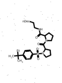 CCCCCCCCCCCCNC(=O)C1CCCN1C(=O)C1CCCN1S(=O)(=O)c1ccc(C(C)(C)CC)cc1